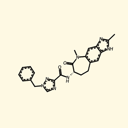 Cc1nc2cc3c(cc2[nH]1)CC[C@H](NC(=O)c1ncn(Cc2ccccc2)n1)C(=O)N3C